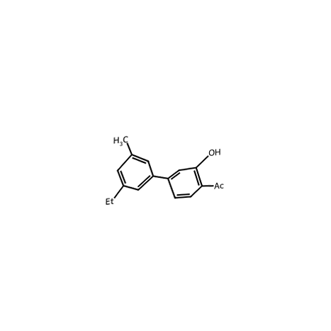 CCc1cc(C)cc(-c2ccc(C(C)=O)c(O)c2)c1